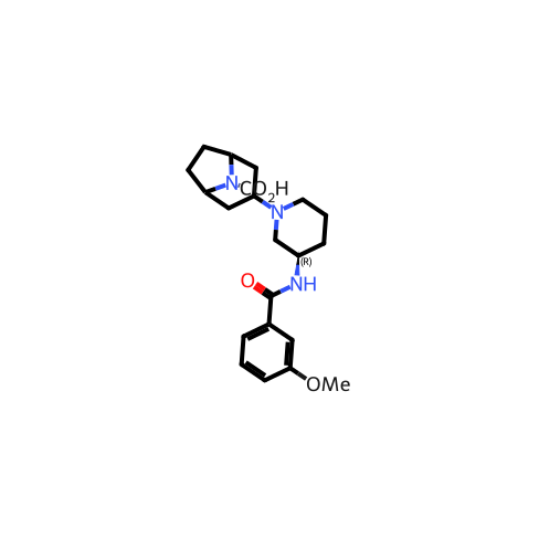 COc1cccc(C(=O)N[C@@H]2CCCN(C3CC4CCC(C3)N4C(=O)O)C2)c1